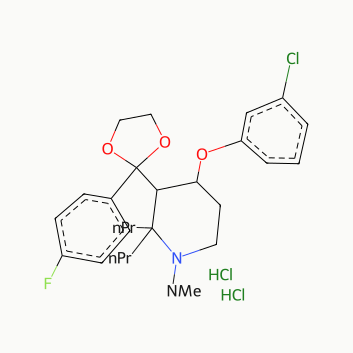 CCCC1(CCC)C(C2(c3ccc(F)cc3)OCCO2)C(Oc2cccc(Cl)c2)CCN1NC.Cl.Cl